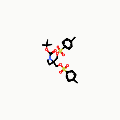 Cc1ccc(S(=O)(=O)OCC2(COS(=O)(=O)c3ccc(C)cc3)CCN2C(=O)OC(C)(C)C)cc1